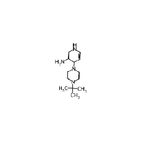 CC(C)(C)N1CCN(C2C=CNCC2N)CC1